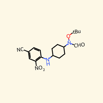 CC(C)(C)ON(C=O)C1CCC(Nc2ccc(C#N)cc2[N+](=O)[O-])CC1